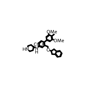 COc1cc(-c2ccc(NC3(C(=O)O)CCNCC3)cc2COC2Cc3ccccc3C2)cc(OC)c1C